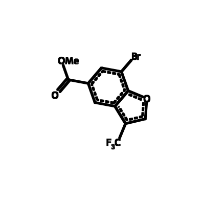 COC(=O)c1cc(Br)c2occ(C(F)(F)F)c2c1